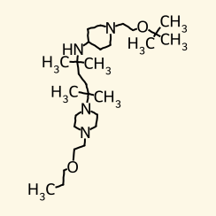 CCCOCCN1CCN(C(C)(C)CCC(C)(C)NC2CCN(CCOC(C)(C)C)CC2)CC1